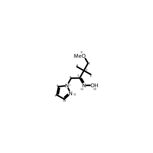 COCC(C)(C)C(Cn1cccn1)=NO